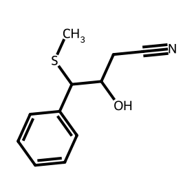 CSC(c1ccccc1)C(O)CC#N